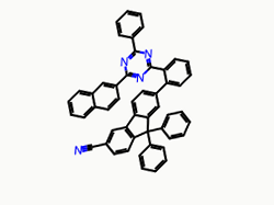 N#Cc1ccc2c(c1)-c1ccc(-c3ccccc3-c3nc(-c4ccccc4)nc(-c4ccc5ccccc5c4)n3)cc1C2(c1ccccc1)c1ccccc1